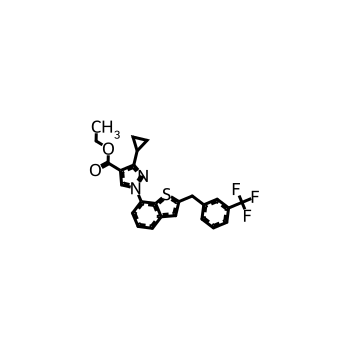 CCOC(=O)c1cn(-c2cccc3cc(Cc4cccc(C(F)(F)F)c4)sc23)nc1C1CC1